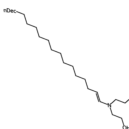 CCCCCCCCCCCCCCCCCCCCCCC=CN(CCO)CCO